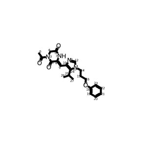 CC(=O)N1CC(=O)NC(=Cc2ncn(CCCOc3ccccc3)c2C(C)C)C1=O